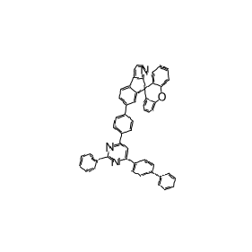 c1ccc(-c2ccc(-c3cc(-c4ccc(-c5ccc6c(c5)C5(c7ccccc7Oc7ccccc75)c5ncccc5-6)cc4)nc(-c4ccccc4)n3)cc2)cc1